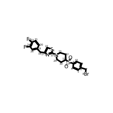 O=S(=O)(c1ccc(CBr)cc1)C1CCN(c2nc(Cc3ccc(F)c(F)c3)cs2)CC1